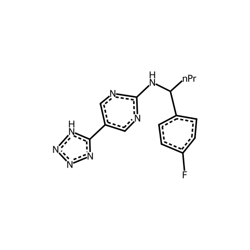 CCCC(Nc1ncc(-c2nnn[nH]2)cn1)c1ccc(F)cc1